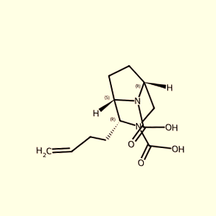 C=CCC[C@@H]1[C@@H]2CC[C@H](CN1C(=O)O)N2C(=O)O